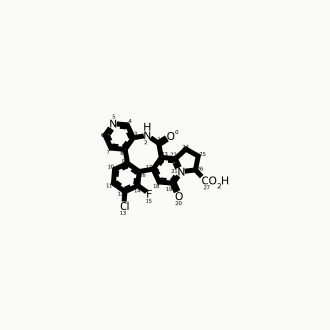 O=C1Nc2cnccc2-c2ccc(Cl)c(F)c2-c2cc(=O)n3c(c21)CCC3C(=O)O